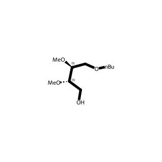 CCCCOC[C@H](OC)[C@H](CO)OC